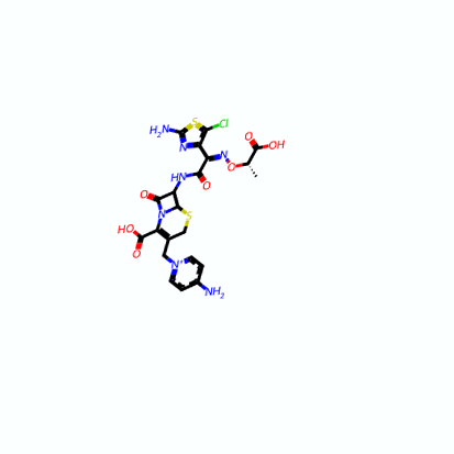 C[C@H](O/N=C(\C(=O)NC1C(=O)N2C(C(=O)O)=C(C[n+]3ccc(N)cc3)CSC12)c1nc(N)sc1Cl)C(=O)O